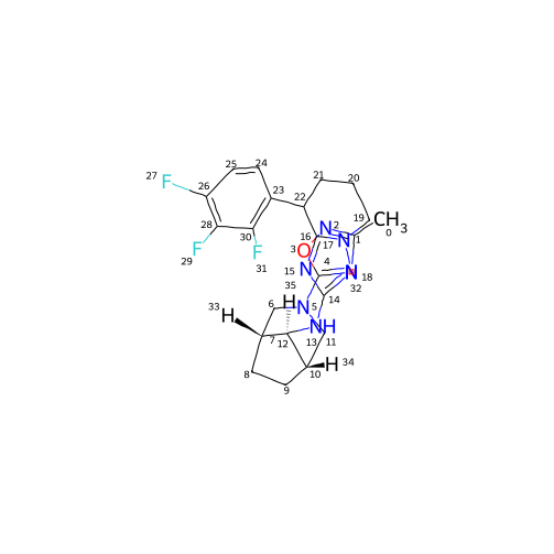 Cc1noc(N2C[C@H]3CC[C@@H](C2)[C@@H]3Nc2nc3n(n2)CCCC3c2ccc(F)c(F)c2F)n1